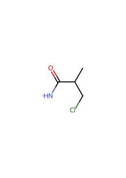 CC(CCl)C([NH])=O